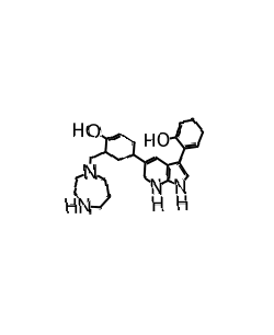 OC1=CCCC=C1c1c[nH]c2c1C=C(C1CC=C(O)C(CN3CCCNCC3)C1)CN2